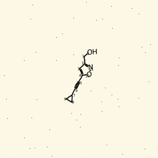 OCc1cc(C#CC2CC2)on1